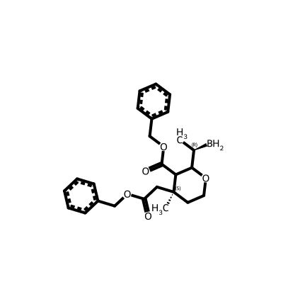 B[C@H](C)C1OCC[C@@](C)(CC(=O)OCc2ccccc2)C1C(=O)OCc1ccccc1